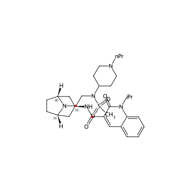 CCCN1CCC(N(CCN2[C@@H]3CC[C@H]2C[C@H](NC(=O)c2cc4ccccc4n(C(C)C)c2=O)C3)S(C)(=O)=O)CC1